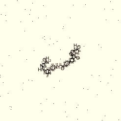 Cc1nc(Nc2ncc(C(N)=O)s2)cc(N2CCN(CCCC(=O)N3CCN(c4ccc5c(c4)C(=O)N(C4CCC(=O)NC4=O)C5=O)CC3)CC2)n1